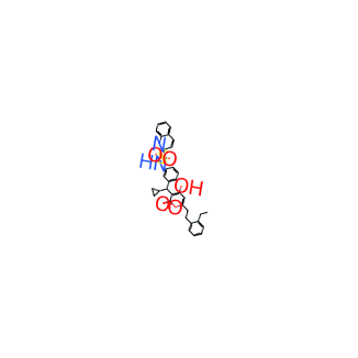 CCc1ccccc1CCc1cc(O)c(C(c2cccc(NS(=O)(=O)c3ccc4ccccc4n3)c2)C2CC2)c(=O)o1